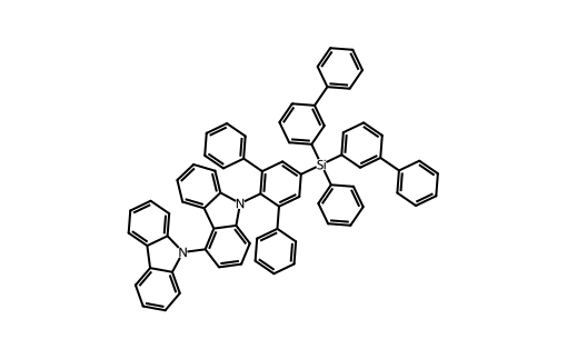 c1ccc(-c2cccc([Si](c3ccccc3)(c3cccc(-c4ccccc4)c3)c3cc(-c4ccccc4)c(-n4c5ccccc5c5c(-n6c7ccccc7c7ccccc76)cccc54)c(-c4ccccc4)c3)c2)cc1